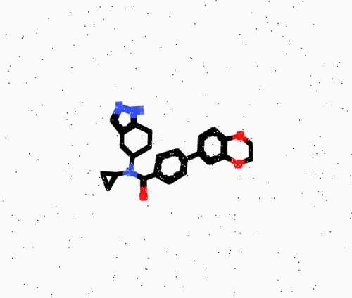 O=C(c1ccc(-c2ccc3c(c2)OCCO3)cc1)N(C1CC1)C1CCc2[nH]ncc2C1